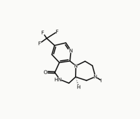 O=C1NC[C@@H]2CN(I)CCN2c2ncc(C(F)(F)F)cc21